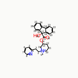 C[N@+]1(CCc2ccccn2)CCCC(OC(=O)C2(O)c3ccccc3-c3ccccc32)C1